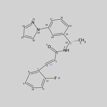 C[C@H](NC(=O)/C=C/c1ccccc1F)c1cccc(-n2cccn2)c1